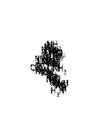 N#Cc1cc(F)c(-n2ncc3cnc(Nc4cc(N)ncn4)cc32)c(Cl)c1.N#Cc1cc(F)c(-n2ncc3cnc(Nc4cc(N)ncn4)cc32)c(F)c1.N#Cc1cccc(Cl)c1-n1ncc2cnc(Nc3cc(N)ncn3)cc21.Nc1cc(Nc2cc3c(cn2)cnn3-c2c(F)cccc2F)ncn1